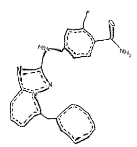 NC(=O)c1ccc(Nc2nc3cccc(-c4ccccc4)n3n2)cc1F